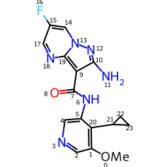 COc1cncc(NC(=O)c2c(N)nn3cc(F)cnc23)c1C1CC1